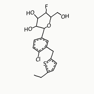 CCc1ccc(Cc2cc(C3OC(CO)C(F)C(O)C3O)ccc2Cl)s1